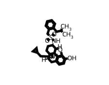 CC(C)Cc1ccccc1CS(=O)(=O)N[C@H]1CC[C@@]2(O)[C@H]3Cc4ccc(O)c5c4[C@@]2(CCN3CC2CC2)[C@H]1O5